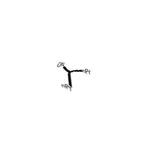 CCCC(CCC)N=O